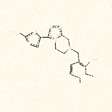 COC/C=C\C(CN1CCn2c(-c3csc(C)n3)nnc2[C@@H]1C)=C(/CI)OC